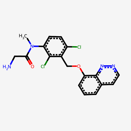 CN(C(=O)CN)c1ccc(Cl)c(COc2cccc3ccnnc23)c1Cl